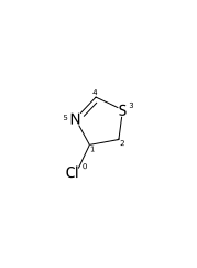 ClC1CSC=N1